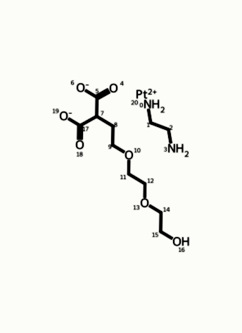 NCCN.O=C([O-])C(CCOCCOCCO)C(=O)[O-].[Pt+2]